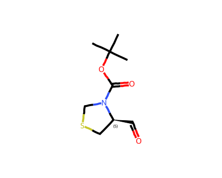 CC(C)(C)OC(=O)N1CSC[C@@H]1C=O